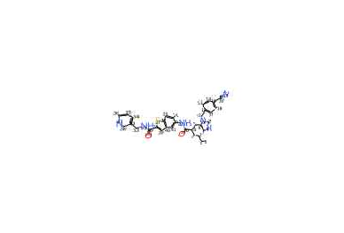 CCCCC(Cc1cncn1Cc1ccc(C#N)cc1)C(=O)Nc1ccc2sc(C(=O)NCc3cccnc3)cc2c1